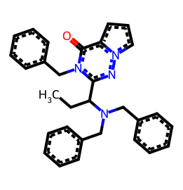 CCC(c1nn2cccc2c(=O)n1Cc1ccccc1)N(Cc1ccccc1)Cc1ccccc1